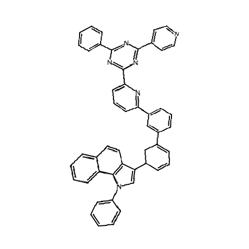 C1=CC(c2cn(-c3ccccc3)c3c2ccc2ccccc23)CC(c2cccc(-c3cccc(-c4nc(-c5ccccc5)nc(-c5ccncc5)n4)n3)c2)=C1